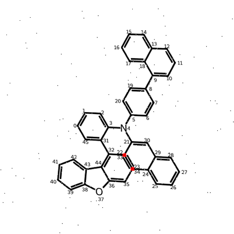 c1ccc(N(c2ccc(-c3cccc4ccccc34)cc2)c2ccc3ccccc3c2)c(-c2cccc3oc4ccccc4c23)c1